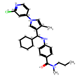 CCCN(C)C(=O)c1ccc(NC(c2cn(-c3ccnc(Cl)c3)cc2C)C2CCCCC2)cc1